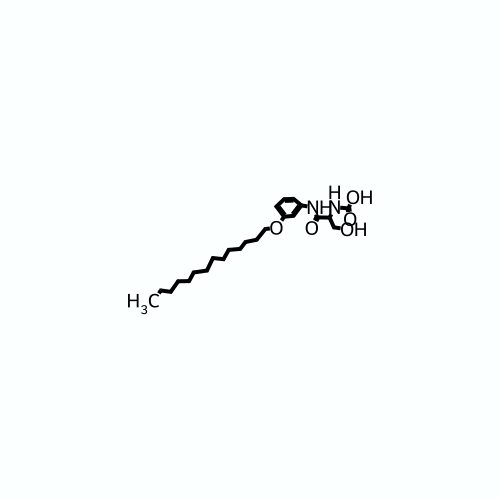 CCCCCCCCCCCCCCOc1cccc(NC(=O)C(CO)NC(=O)O)c1